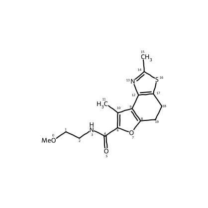 COCCNC(=O)c1oc2c(c1C)-c1nc(C)sc1CC2